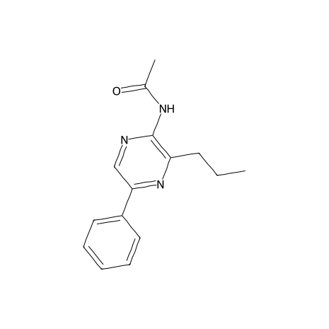 CCCc1nc(-c2ccccc2)cnc1NC(C)=O